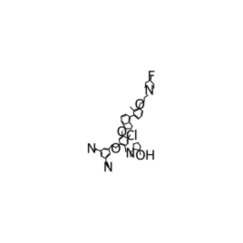 Cc1c(OCCCN2CCC(F)CC2)cccc1-c1cccc2c1CC[C@@H]2Oc1cc(OCc2cc(C#N)cc(C#N)c2)c(CN(C)[C@H]2CCC[C@H]2O)cc1Cl